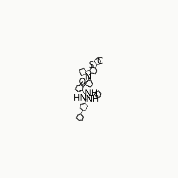 C1=CC2c3c(ccc4c3SC3C=CCCC43)N(c3cccc4c3oc3cccc(C5NC(C6=CC=C(c7ccccc7)CC6)NC(c6ccccc6)N5)c34)C2C=C1